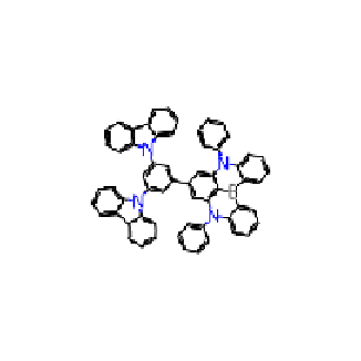 c1ccc(N2c3ccccc3B3c4ccccc4N(c4ccccc4)c4cc(-c5cc(-n6c7ccccc7c7ccccc76)cc(-n6c7ccccc7c7ccccc76)c5)cc2c43)cc1